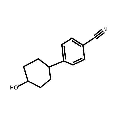 N#Cc1ccc([C]2CCC(O)CC2)cc1